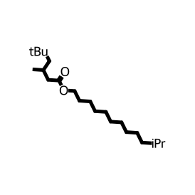 CC(C)CCCCCCCCCCOC(=O)CC(C)CC(C)(C)C